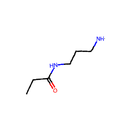 CCC(=O)NCCC[NH]